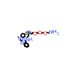 CN(CCCNc1nc(CN(C)C2CCC(C(C)(C)C)CC2)nc2ccccc12)CCOCCOCCOCCN